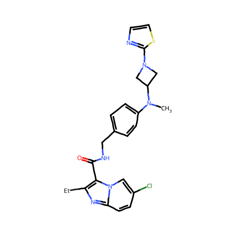 CCc1nc2ccc(Cl)cn2c1C(=O)NCc1ccc(N(C)C2CN(c3nccs3)C2)cc1